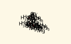 CC1(C)COC(c2cc[c]([Mg+])c(C3=NC(C)(C)CO3)c2C2=NC(C)(C)CO2)=N1.CC1(C)COC(c2cc[c]([Mg+])c(C3=NC(C)(C)CO3)c2C2=NC(C)(C)CO2)=N1.CC1(C)COC(c2cc[c]([Mg+])c(C3=NC(C)(C)CO3)c2C2=NC(C)(C)CO2)=N1.[O-]B([O-])[O-]